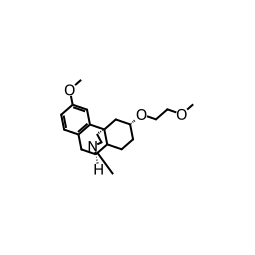 COCCO[C@@H]1CCC2[C@H]3Cc4ccc(OC)cc4[C@@]2(CCN3C)C1